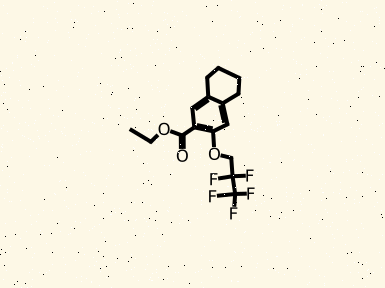 CCOC(=O)c1cc2c(cc1OCC(F)(F)C(F)(F)F)CCCC2